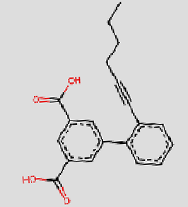 CCCCC#Cc1ccccc1-c1cc(C(=O)O)cc(C(=O)O)c1